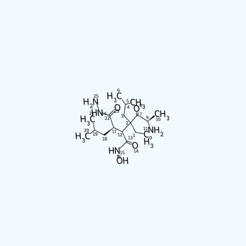 CCC(CC(C)C)(C(=O)[C@@H](C)N)C(C(=O)NO)[C@@H](CC(C)C)C(=O)NN